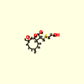 CC1=CCCC2(C)OC2C2OC(=O)C(CSCCO)C2CC1